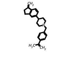 C=C(C)c1ccc(CN2CCC(c3ccc4c(c3)CCC4=C)CC2)cc1